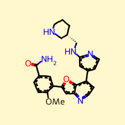 COc1ccc(C(N)=O)cc1-c1cc2nccc(-c3ccnc(NC[C@H]4CCCNC4)c3)c2o1